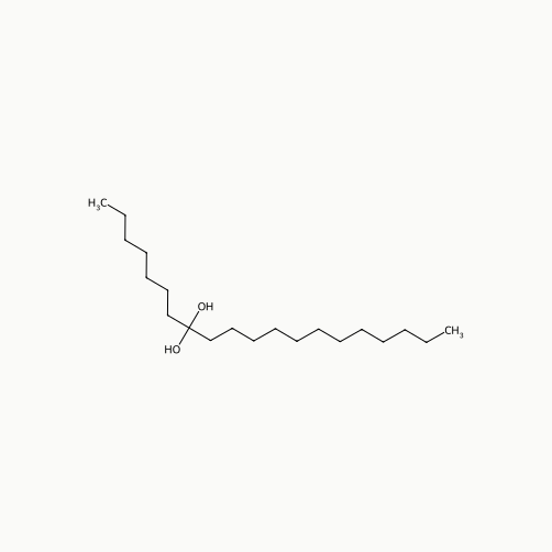 CCCCCCCCCCCCC(O)(O)CCCCCCC